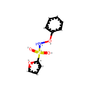 O=S(=O)(NOc1ccccc1)c1ccco1